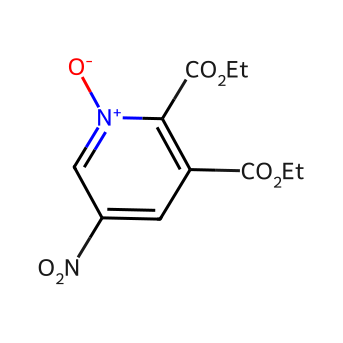 CCOC(=O)c1cc([N+](=O)[O-])c[n+]([O-])c1C(=O)OCC